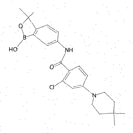 CC1(C)CCN(c2ccc(C(=O)Nc3ccc4c(c3)B(O)OC4(C)C)c(Cl)c2)CC1